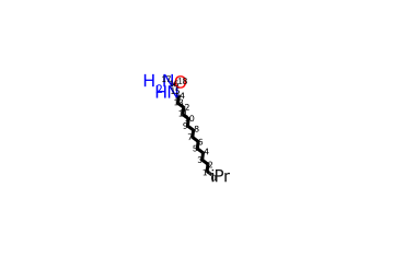 CC(C)CCCCCCCCCCCCCCNC(N)=O